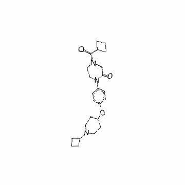 O=C(C1CCC1)N1CCN(c2ccc(OC3CCN(C4CCC4)CC3)cc2)C(=O)C1